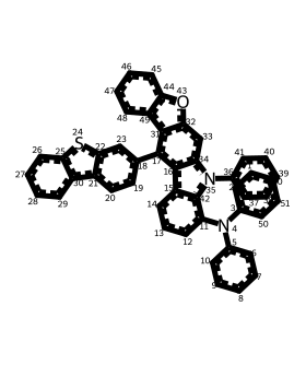 c1ccc(N(c2ccccc2)c2cccc3c4c(-c5ccc6c(c5)sc5ccccc56)c5c(cc4n(-c4ccccc4)c23)oc2ccccc25)cc1